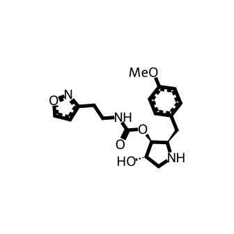 COc1ccc(C[C@H]2NC[C@H](O)[C@H]2OC(=O)NCCc2ccon2)cc1